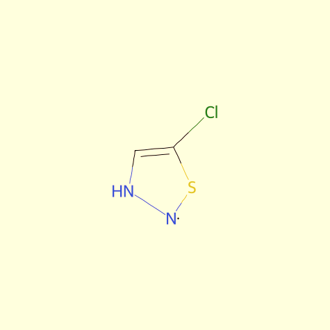 ClC1=CN[N]S1